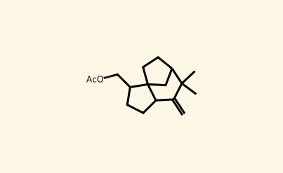 C=C1C2CCC(COC(C)=O)C23CCC(C3)C1(C)C